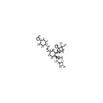 COc1ccc(CSc2ccc(NCC3CCC3)c(NC(=O)C(C)(C)C)c2)cc1